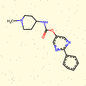 CN1CCC(NC(=O)Oc2cnc(-c3ccccc3)nc2)CC1